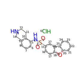 Cl.O=S(=O)(Nc1cccc2c1CCNC2)c1ccc2oc3ccccc3c2c1